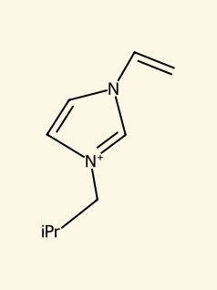 C=Cn1cc[n+](CC(C)C)c1